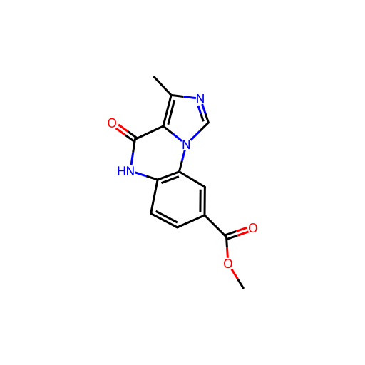 COC(=O)c1ccc2[nH]c(=O)c3c(C)ncn3c2c1